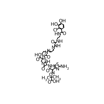 CC(C)(O/N=C(\C(=O)N[C@@H]1C(=O)N2C[C@@](C(=O)O)(N3CCN(N=C/C=N/NC(=O)NCCNC(=O)c4ccc(O)c(O)c4Cl)C3=O)S[C@H]12)c1csc(N)n1)C(=O)O